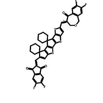 O=C1/C(=C/c2cc3sc4c(c3s2)C2(CCCCC2)c2c-4sc3c2C2(CCCCC2)C(C=C2C(=O)c4cc(F)c(F)cc4C2=O)=C3)COCc2cc(F)c(F)cc21